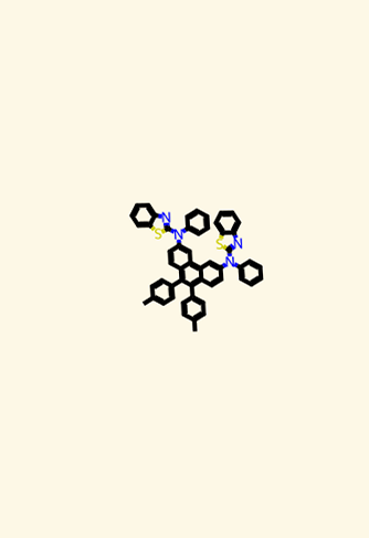 Cc1ccc(-c2c(-c3ccc(C)cc3)c3ccc(N(c4ccccc4)c4nc5ccccc5s4)cc3c3cc(N(c4ccccc4)c4nc5ccccc5s4)ccc23)cc1